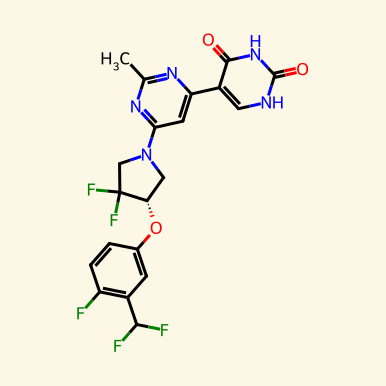 Cc1nc(-c2c[nH]c(=O)[nH]c2=O)cc(N2C[C@H](Oc3ccc(F)c(C(F)F)c3)C(F)(F)C2)n1